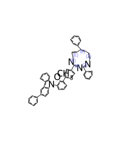 COc1c(-c2ccc(C3=N/C(c4ccccc4)=N\C=C/C=C(c4ccccc4)\C=C\C=N\3)cc2)cccc1-n1c2ccccc2c2cc(-c3ccccc3)ccc21